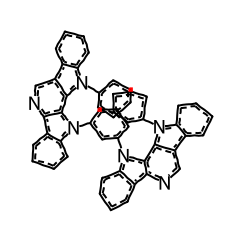 c1ccc(-n2c3ccccc3c3cnc4c5ccccc5n(-c5cccc(-n6c7ccccc7c7ncc8c9ccccc9n(-c9ccccc9)c8c76)c5)c4c32)cc1